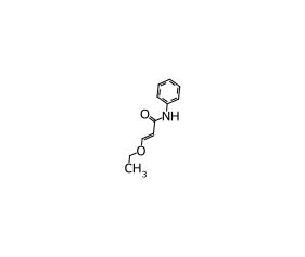 CCOC=CC(=O)Nc1ccccc1